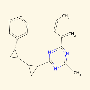 C=C(/C=C\C)c1nc(C)nc(C2CC2C2C[C@@H]2c2ccccc2)n1